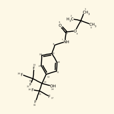 CC(C)(C)OC(=O)NCc1ccc(C(O)(C(F)(F)F)C(F)(F)F)cc1